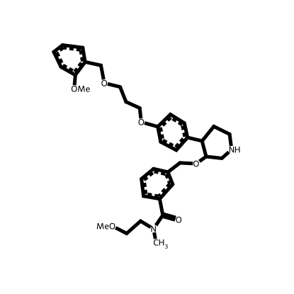 COCCN(C)C(=O)c1cccc(COC2CNCCC2c2ccc(OCCCOCc3ccccc3OC)cc2)c1